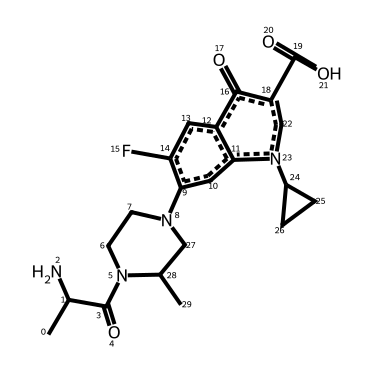 CC(N)C(=O)N1CCN(c2cc3c(cc2F)c(=O)c(C(=O)O)cn3C2CC2)CC1C